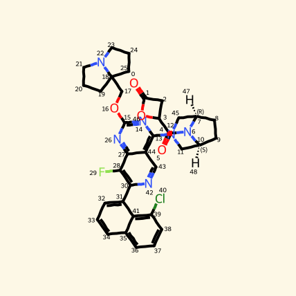 O=C1CC(C(=O)N2[C@@H]3CC[C@H]2CN(c2nc(OCC45CCCN4CCC5)nc4c(F)c(-c5cccc6cccc(Cl)c56)ncc24)C3)O1